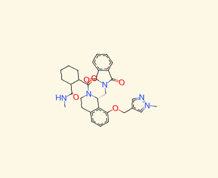 CNC(=O)C1CCCCC1C(=O)N1CCc2cccc(OCc3cnn(C)c3)c2[C@H]1CN1C(=O)c2ccccc2C1=O